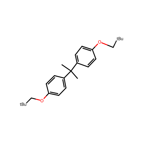 CC(C)(C)COc1ccc(C(C)(C)c2ccc(OCC(C)(C)C)cc2)cc1